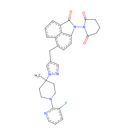 CC1(n2cc(Cc3ccc4c5c(cccc35)C(=O)N4N3C(=O)CCCC3=O)cn2)CCN(c2ncccc2F)CC1